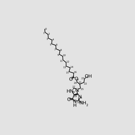 CCCCCCCCCCCCCCCCCC(=O)OCC(CCO)CN1CNc2c1nc(N)[nH]c2=O